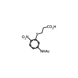 CC(=O)Nc1ccc([N+](=O)[O-])c(SCCC(=O)O)c1